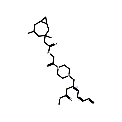 C=C/C=C\C=C(/CC(=O)OC)CN1CCN(C(=O)CNC(=O)CC2(C)CC(C)CC3CC3C2)CC1